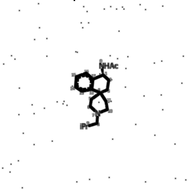 CC(=O)N[C@H]1CCC2(CCN(CC(C)C)CC2)c2ccccc21